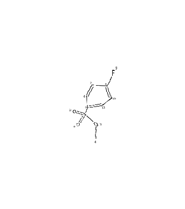 O=S(=O)(OI)c1ccc(F)cc1